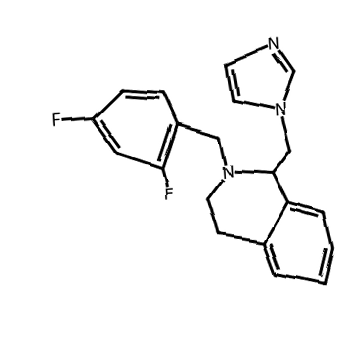 Fc1ccc(CN2CCc3ccccc3C2Cn2ccnc2)c(F)c1